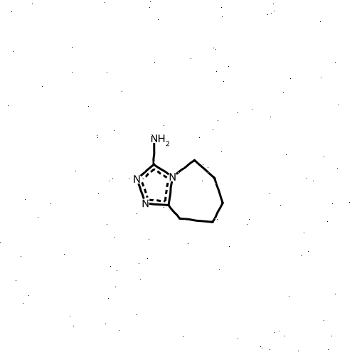 Nc1nnc2n1CCCCC2